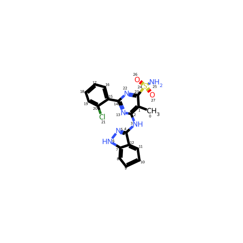 Cc1c(Nc2n[nH]c3ccccc23)nc(-c2ccccc2Cl)nc1S(N)(=O)=O